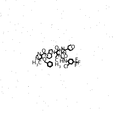 CCc1c(N2CCC3C2CCCN3C(=O)c2ncnc(C)c2OCc2ccccc2)c(=O)n2nc(C3=CCOCC3)nc2n1CC(=O)Nc1ccc(C(F)(F)F)cc1Cl